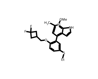 CCSc1ccc(OCC2CC(F)(F)C2)c(-c2cc(C)[n+](OC)c3[nH]ccc23)c1